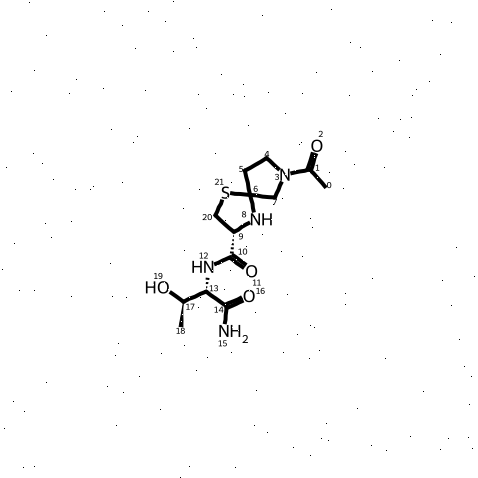 CC(=O)N1CCC2(C1)N[C@H](C(=O)N[C@H](C(N)=O)[C@@H](C)O)CS2